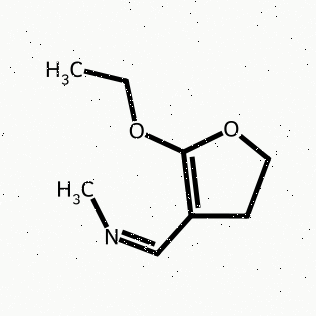 CCOC1=C(/C=N\C)CCO1